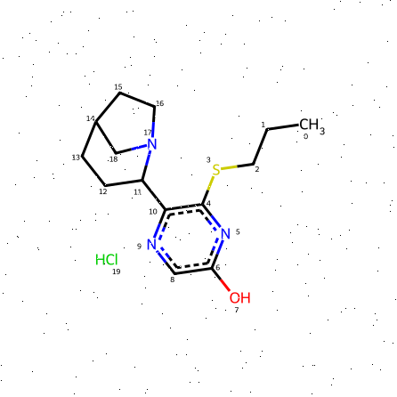 CCCSc1nc(O)cnc1C1CCC2CCN1C2.Cl